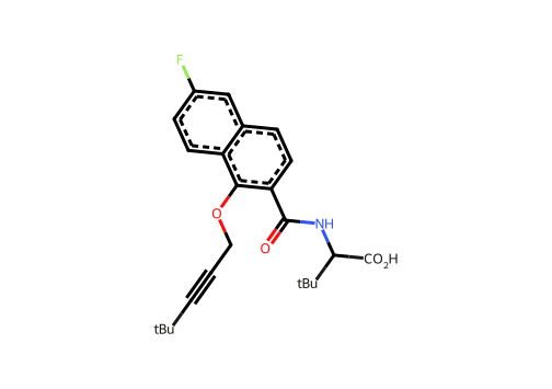 CC(C)(C)C#CCOc1c(C(=O)NC(C(=O)O)C(C)(C)C)ccc2cc(F)ccc12